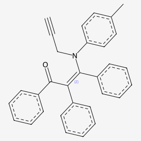 C#CCN(/C(=C(\C(=O)c1ccccc1)c1ccccc1)c1ccccc1)c1ccc(C)cc1